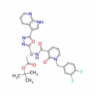 CC(C)(C)OC(=O)C[C@@H](NC(=O)c1cccn(Cc2ccc(F)c(F)c2)c1=O)c1nnc(-c2c[nH]c3ncccc23)o1